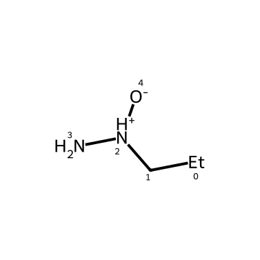 CCC[NH+](N)[O-]